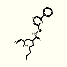 CCCCCC(CN(O)C=O)C(=O)NNc1nncc(-c2ccccc2)n1